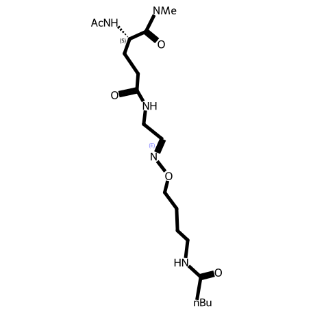 CCCCC(=O)NCCCCO/N=C/CNC(=O)CC[C@H](NC(C)=O)C(=O)NC